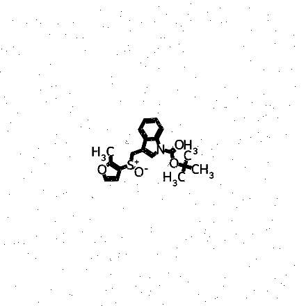 Cc1occc1[S+]([O-])Cc1cn(C(=O)OC(C)(C)C)c2ccccc12